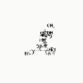 CCCCS(=O)(=O)N[C@@H](CNC(=O)CNC(=O)C(CCC1CCNCC1)CCC1CCNCC1)C(=O)O.Cl.Cl